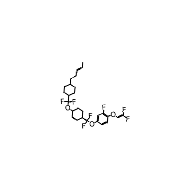 C/C=C/CCC1CCC(C(F)(F)OC2CCC(C(F)(F)Oc3ccc(OC=C(F)F)c(F)c3)CC2)CC1